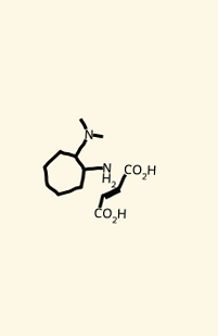 CN(C)C1CCCCCC1N.O=C(O)C=CC(=O)O